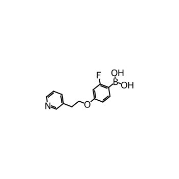 OB(O)c1ccc(OCCc2cccnc2)cc1F